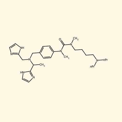 CCCN(CCC)CCCCN(C)C(=O)N(C)c1ccc(CN(Cc2ncc[nH]2)C(C)c2ncc[nH]2)cc1